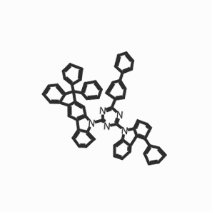 c1ccc(-c2ccc(-c3nc(-n4c5ccccc5c5cc6c(cc54)C(c4ccccc4)(c4ccccc4)c4ccccc4-6)nc(-n4c5ccccc5c5c(-c6ccccc6)cccc54)n3)cc2)cc1